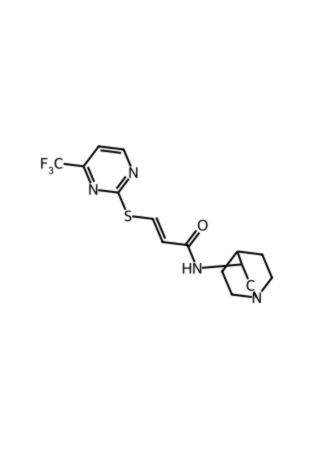 O=C(C=CSc1nccc(C(F)(F)F)n1)NC1CN2CCC1CC2